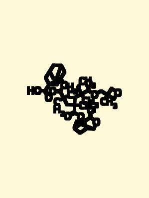 CCC(C)(CC(C)(CC(C)(C)C(=O)OC12CC3CC(C1)CC(C(=O)O)(C3)C2)C(=O)OC1C2CC3C(=O)OC1C3C2)C(=O)OCC1(C)COC1